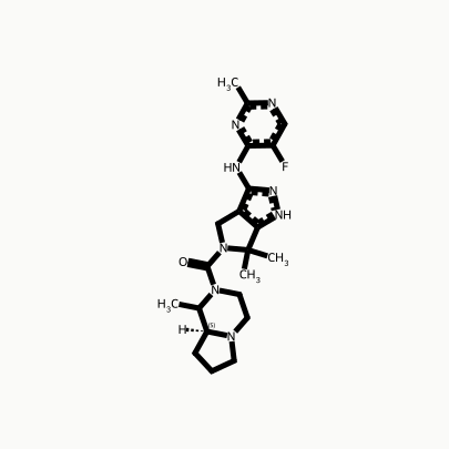 Cc1ncc(F)c(Nc2n[nH]c3c2CN(C(=O)N2CCN4CCC[C@H]4C2C)C3(C)C)n1